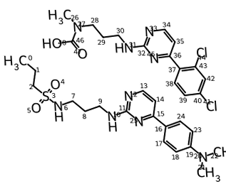 CCCS(=O)(=O)NCCCNc1nccc(-c2ccc(N(C)C)cc2)n1.CN(CCCNc1nccc(-c2ccc(Cl)cc2Cl)n1)C(=O)O